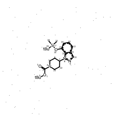 CC(C)(C)OC(=O)N1CCC(n2ncc3cccc(O[Si](C)(C)C(C)(C)C)c32)CC1